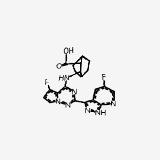 O=C(O)C1C2CCC(CC2)C1Nc1nc(-c2n[nH]c3ncc(F)cc23)nn2ccc(F)c12